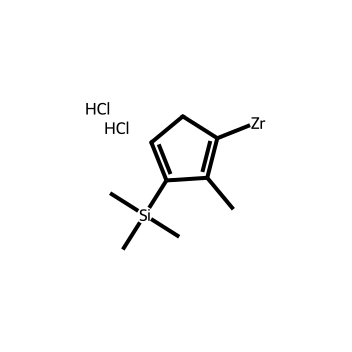 CC1=[C]([Zr])CC=C1[Si](C)(C)C.Cl.Cl